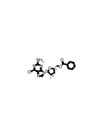 C[C@H]1C[C@@H](COC(=O)c2ccccc2)O[C@H]1n1cnc2c(Cl)nc(N)nc21